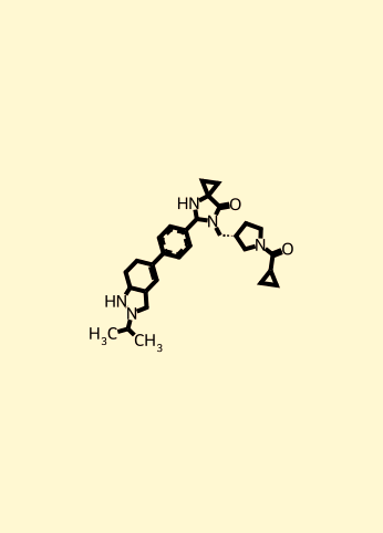 CC(C)N1CC2C=C(c3ccc(C4NC5(CC5)C(=O)N4C[C@@H]4CCN(C(=O)C5CC5)C4)cc3)CCC2N1